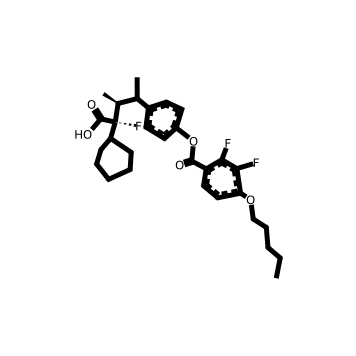 CCCCCOc1ccc(C(=O)Oc2ccc(C(C)[C@H](C)[C@](F)(C(=O)O)C3CCCCC3)cc2)c(F)c1F